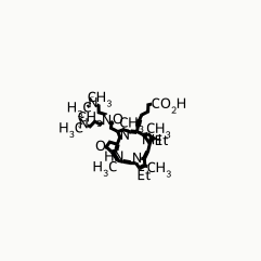 CCC1=C(C)c2cc3[nH]c(c(C)c3CC)c(C#CCCCC(=O)O)c3nc(c4c5[nH]c(cc1n2)c(C)c5C(=O)C4)C(CC(=O)N(CCCN(C)C)CCCN(C)C)[C@@H]3C